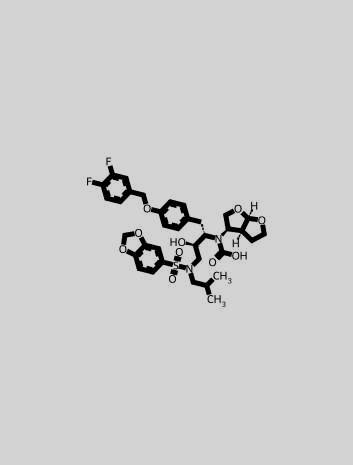 CC(C)CN(C[C@@H](O)[C@H](Cc1ccc(OCc2ccc(F)c(F)c2)cc1)N(C(=O)O)[C@H]1CO[C@H]2OCC[C@H]21)S(=O)(=O)c1ccc2c(c1)OCO2